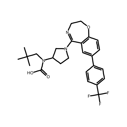 CC(C)(C)CN(C(=O)O)C1CCN(C2=NCCOc3ccc(-c4ccc(C(F)(F)F)cc4)cc32)C1